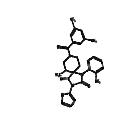 Cc1ccccc1N1C(=O)N(c2ccco2)C(=O)C12CCN(C(=O)c1cc(C(F)(F)F)cc(C(F)(F)F)c1)CC2C